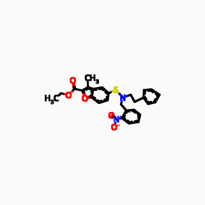 CCOC(=O)c1oc2ccc(SN(CCc3ccccc3)Cc3ccccc3[N+](=O)[O-])cc2c1C